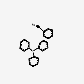 C#Cc1ccccc1.c1ccc(P(c2ccccc2)c2ccccc2)cc1